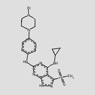 CCN1CCN(c2ccc(Nc3nc(NC4CC4)c4c(S(C)(=O)=O)n[nH]c4n3)cc2)CC1